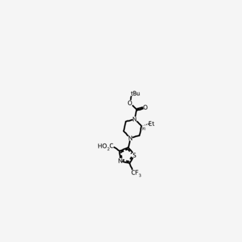 CC[C@@H]1CN(c2sc(C(F)(F)F)nc2C(=O)O)CCN1C(=O)OC(C)(C)C